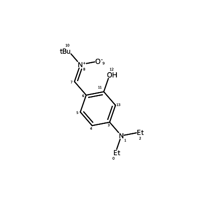 CCN(CC)c1ccc(C=[N+]([O-])C(C)(C)C)c(O)c1